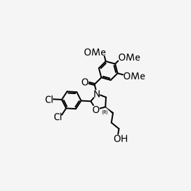 COc1cc(C(=O)N2C[C@@H](CCCO)OC2c2ccc(Cl)c(Cl)c2)cc(OC)c1OC